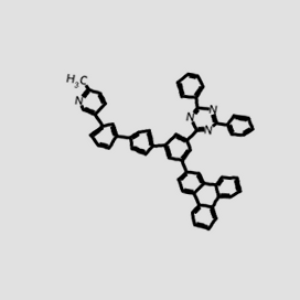 Cc1ccc(-c2cccc(-c3ccc(-c4cc(-c5ccc6c7ccccc7c7ccccc7c6c5)cc(-c5nc(-c6ccccc6)nc(-c6ccccc6)n5)c4)cc3)c2)cn1